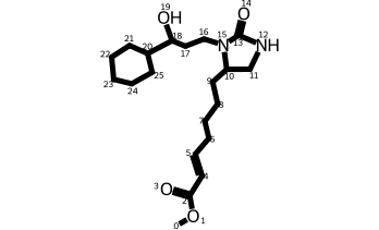 COC(=O)/C=C/CCCCC1CNC(=O)N1CCC(O)C1CCCCC1